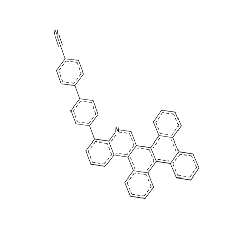 N#Cc1ccc(-c2ccc(-c3cccc4c3ncc3c4c4ccccc4c4c5ccccc5c5ccccc5c34)cc2)cc1